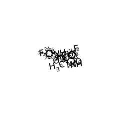 C[C@H](c1n[nH]c(=O)c2cc(F)ccc12)N(C)C(=O)Nc1ccc(F)cc1